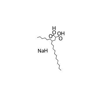 CCCCCCCCCCCCC(CCCCCC)CC(C(=O)O)C(=O)O.[NaH]